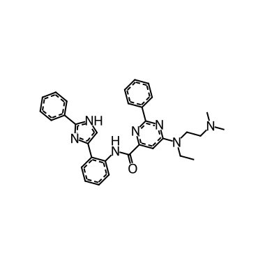 CCN(CCN(C)C)c1cc(C(=O)Nc2ccccc2-c2c[nH]c(-c3ccccc3)n2)nc(-c2ccccc2)n1